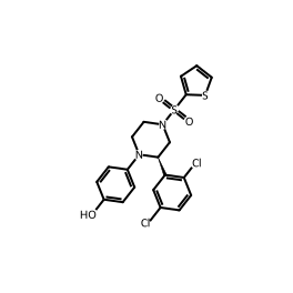 O=S(=O)(c1cccs1)N1CCN(c2ccc(O)cc2)[C@H](c2cc(Cl)ccc2Cl)C1